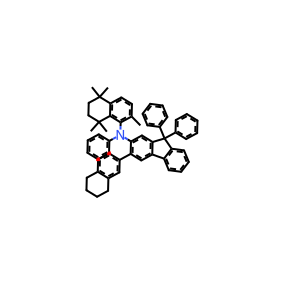 Cc1ccc2c(c1N(c1ccccc1)c1cc3c(cc1-c1ccc4c(c1)CCCC4)-c1ccccc1C3(c1ccccc1)c1ccccc1)C(C)(C)CCC2(C)C